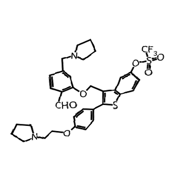 O=Cc1ccc(CN2CCCC2)cc1OCc1c(-c2ccc(OCCN3CCCC3)cc2)sc2ccc(OS(=O)(=O)C(F)(F)F)cc12